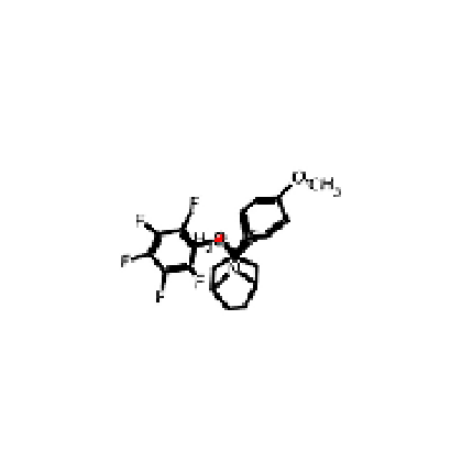 COc1ccc(C2(Oc3c(F)c(F)c(F)c(F)c3F)CC3CCC(C2)N3C(C)=S)cc1